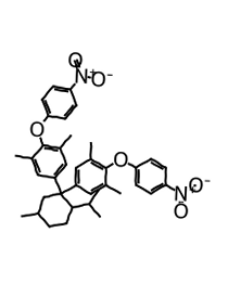 Cc1cc(C2(c3cc(C)c(Oc4ccc([N+](=O)[O-])cc4)c(C)c3)CC(C)CCC2C(C)C)cc(C)c1Oc1ccc([N+](=O)[O-])cc1